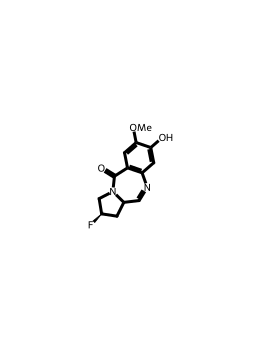 COc1cc2c(cc1O)N=CC1C[C@@H](F)CN1C2=O